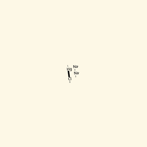 [Cl][Hg].[Na].[Na]